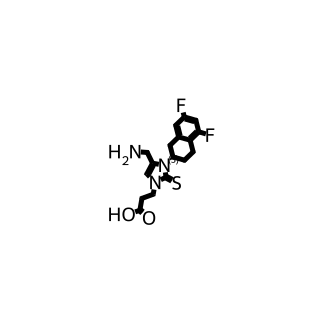 NCc1cn(CCC(=O)O)c(=S)n1[C@H]1CCc2c(F)cc(F)cc2C1